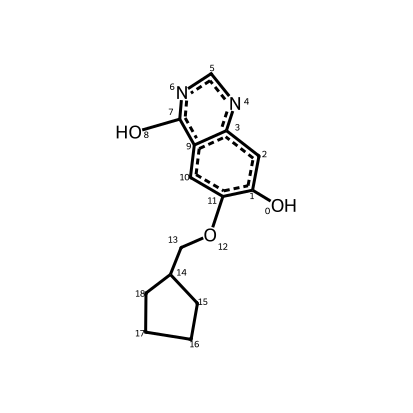 Oc1cc2ncnc(O)c2cc1OCC1CCCC1